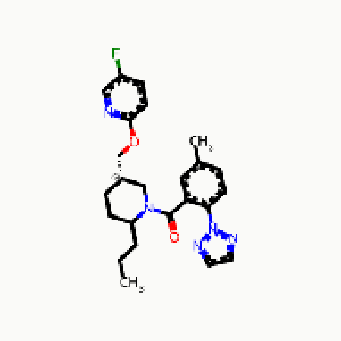 CCCC1CC[C@H](COc2ccc(F)cn2)CN1C(=O)c1cc(C)ccc1-n1nccn1